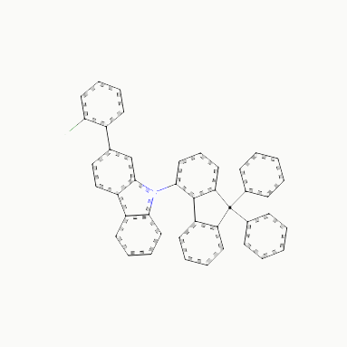 Brc1ccccc1-c1ccc2c3ccccc3n(-c3cccc4c3-c3ccccc3C4(c3ccccc3)c3ccccc3)c2c1